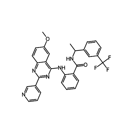 COc1ccc2nc(-c3cccnc3)nc(Nc3ccccc3C(=O)NC(C)c3cccc(C(F)(F)F)c3)c2c1